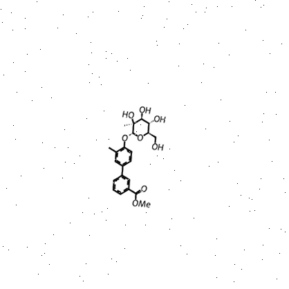 COC(=O)c1cccc(-c2ccc(O[C@H]3O[C@H](CO)[C@@H](O)[C@H](O)[C@]3(C)O)c(C)c2)c1